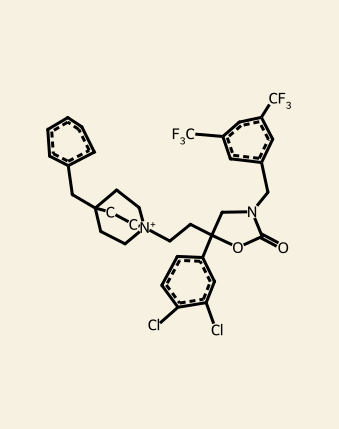 O=C1OC(CC[N+]23CCC(Cc4ccccc4)(CC2)CC3)(c2ccc(Cl)c(Cl)c2)CN1Cc1cc(C(F)(F)F)cc(C(F)(F)F)c1